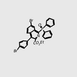 CCOC(=O)c1nc(P(=O)(c2ccccc2)c2ccccc2)c2cc(Br)ccc2c1-c1ccc(Br)cc1